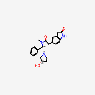 CN(C(=O)Cc1ccc2c(c1)CC(=O)N2)[C@H](CN1CC[C@H](O)C1)c1ccccc1